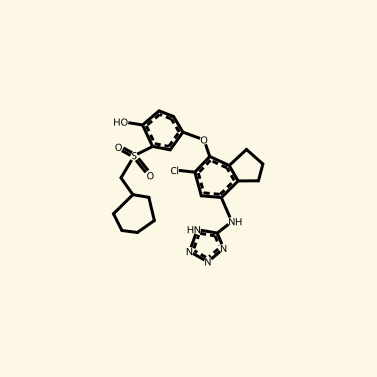 O=S(=O)(CC1CCCCC1)c1cc(Oc2c(Cl)cc(Nc3nnn[nH]3)c3c2CCC3)ccc1O